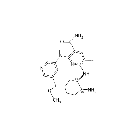 COCc1cncc(Nc2nc(N[C@@H]3CCCC[C@@H]3N)c(F)cc2C(N)=O)c1